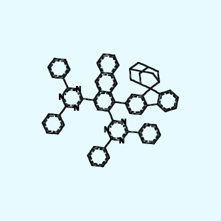 c1ccc(-c2nc(-c3ccccc3)nc(-c3cc(-c4nc(-c5ccccc5)nc(-c5ccccc5)n4)c4cc5ccccc5cc4c3-c3ccc4c(c3)C3(c5ccccc5-4)C4CC5CC(C4)CC3C5)n2)cc1